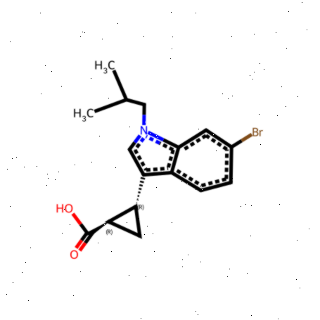 CC(C)Cn1cc([C@@H]2C[C@H]2C(=O)O)c2ccc(Br)cc21